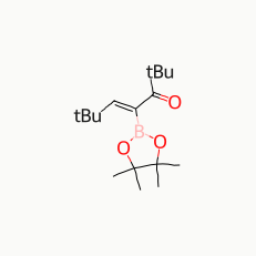 CC(C)(C)/C=C(\B1OC(C)(C)C(C)(C)O1)C(=O)C(C)(C)C